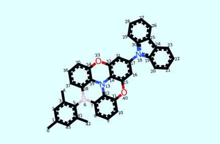 Cc1cc(C)c(B2c3cccc4c3N3c5c(cc(-n6c7ccccc7c7ccccc76)cc5Oc5cccc2c53)O4)c(C)c1